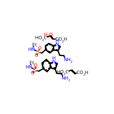 CCNS(=O)(=O)Cc1ccc2[nH]cc(CCN)c2c1.CCNS(=O)(=O)Cc1ccc2[nH]cc(CCN)c2c1.O.O=C(O)C=CC(=O)O.O=C(O)C=CC(=O)O